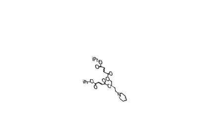 CC(C)OC(=O)/C=C/C(=O)OCC(CCN1CCCCC1)OC(=O)/C=C/C(=O)OC(C)C